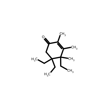 CCC1(CC)CC(=O)C(C)=C(C)C1(C)CC